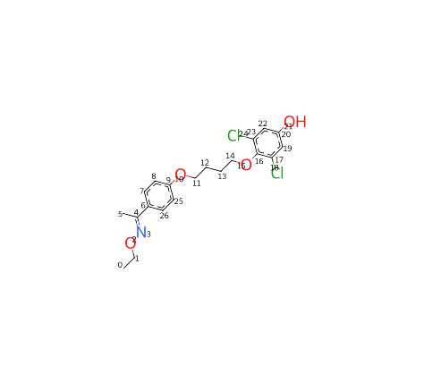 CCON=C(C)c1ccc(OCCCCOc2c(Cl)cc(O)cc2Cl)cc1